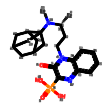 CC[C@H](CCn1c(=O)c(P(=O)(O)O)nc2ccccc21)N(CC)C12CC3CC(CC1C3)C2